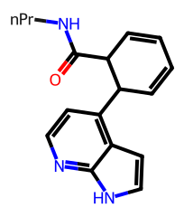 CCCNC(=O)C1C=CC=CC1c1ccnc2[nH]ccc12